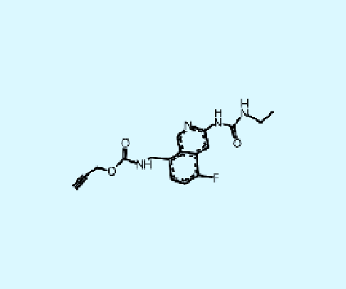 C#CCOC(=O)NCc1ccc(F)c2cc(NC(=O)NCC)ncc12